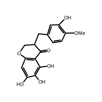 COc1ccc(CC2COc3cc(O)c(O)c(O)c3C2=O)cc1O